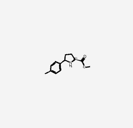 COC(=O)[C@@H]1CCC(c2ccc(C)cc2)N1